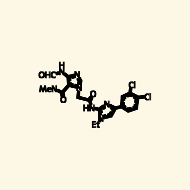 CCn1cc(-c2ccc(Cl)c(Cl)c2)nc1NC(=O)Cn1cnc(NC=O)c1C(=O)NC